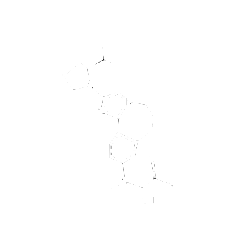 C[C@@H](C(N)=O)N(C)c1ccc2c(c1)OCCn1cc(N3CSC[C@H]3C(F)F)nc1-2